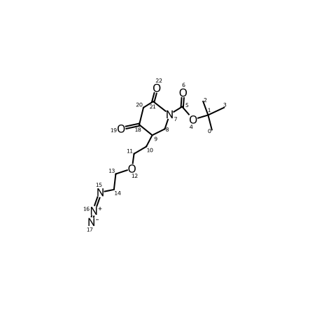 CC(C)(C)OC(=O)N1CC(CCOCCN=[N+]=[N-])C(=O)CC1=O